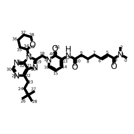 CN(C)C(=O)/C=C/CC[CH]C(=O)Nc1cccn(Cc2nc3c(CCC(C)(C)C)ncnc3n2C2CCCCO2)c1=O